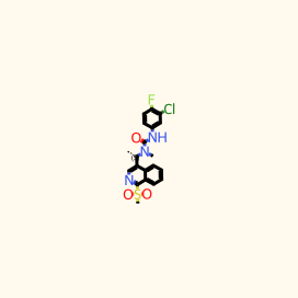 C[C@@H](c1cnc(S(C)(=O)=O)c2ccccc12)N(C)C(=O)Nc1ccc(F)c(Cl)c1